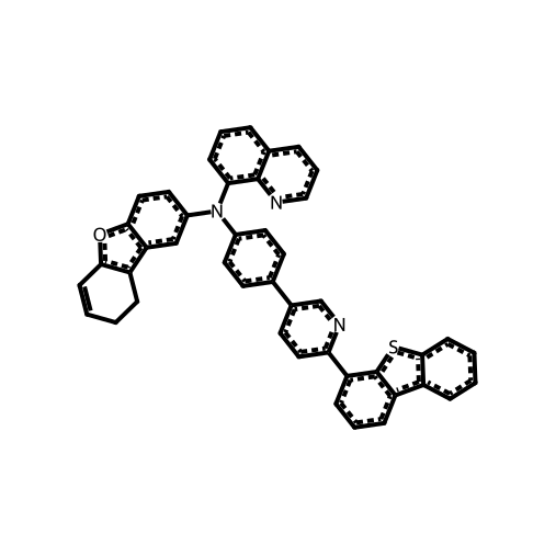 C1=Cc2oc3ccc(N(c4ccc(-c5ccc(-c6cccc7c6sc6ccccc67)nc5)cc4)c4cccc5cccnc45)cc3c2CC1